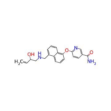 C=CC(O)CNCc1cccc2c(Oc3ccc(C(N)=O)cn3)cccc12